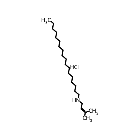 CCCCCCCCCCCCCCCCCCNCC=C(C)C.Cl